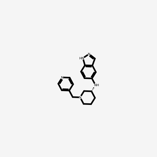 c1cc(CN2CCC[C@@H](Nc3ccc4[nH]ncc4c3)C2)ccn1